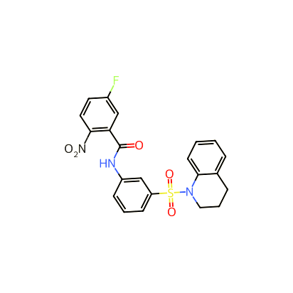 O=C(Nc1cccc(S(=O)(=O)N2CCCc3ccccc32)c1)c1cc(F)ccc1[N+](=O)[O-]